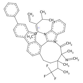 C=C/C(=C(\C)n1c2[n+](c3ccccc31)C(=C)C(C)(N=C)C(C)(C(C)C(F)(F)F)CCc1ccc3c(oc4cc(-c5ccccc5)ccc43)c1-2)C(C)C